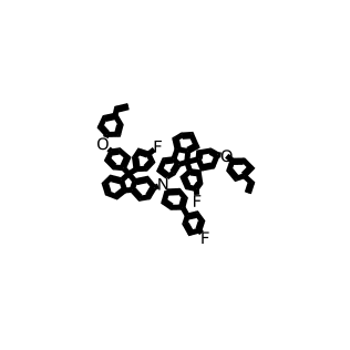 C=Cc1ccc(Oc2ccc(C3(c4ccc(F)cc4)c4ccccc4-c4ccc(N(c5ccc(-c6ccc(F)cc6)cc5)c5ccc6c(c5)C(c5ccc(F)cc5)(c5ccc(Oc7ccc(C=C)cc7)cc5)c5ccccc5-6)cc43)cc2)cc1